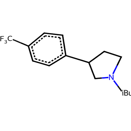 CCC(C)N1CCC(c2ccc(C(F)(F)F)cc2)C1